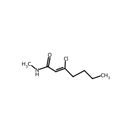 CCCCC(Cl)=CC(=O)NC